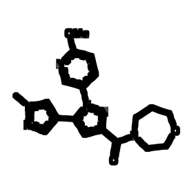 COc1ccc(-n2nc(C(=O)N3CCCOCC3)cc2-c2cnn(C)c2)cn1